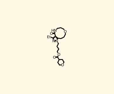 CCc1nn(CCCCOC(=O)C2CCOCC2)c2c1C(=O)NCCCOCCC2